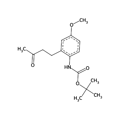 COc1ccc(NC(=O)OC(C)(C)C)c(CCC(C)=O)c1